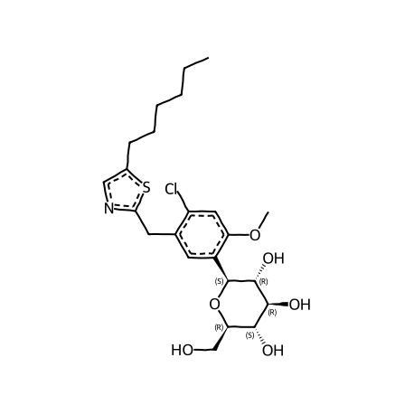 CCCCCCc1cnc(Cc2cc([C@@H]3O[C@H](CO)[C@@H](O)[C@H](O)[C@H]3O)c(OC)cc2Cl)s1